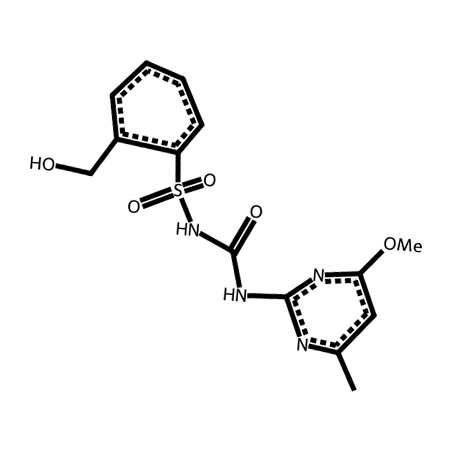 COc1cc(C)nc(NC(=O)NS(=O)(=O)c2ccccc2CO)n1